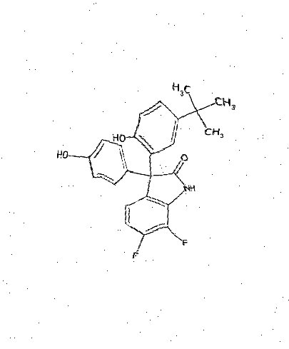 CC(C)(C)c1ccc(O)c(C2(c3ccc(O)cc3)C(=O)Nc3c2ccc(F)c3F)c1